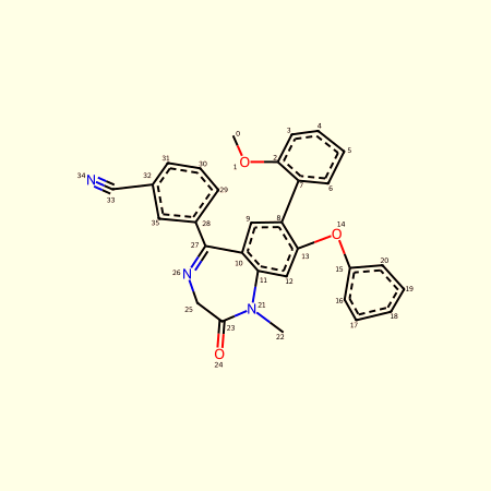 COc1ccccc1-c1cc2c(cc1Oc1ccccc1)N(C)C(=O)CN=C2c1cccc(C#N)c1